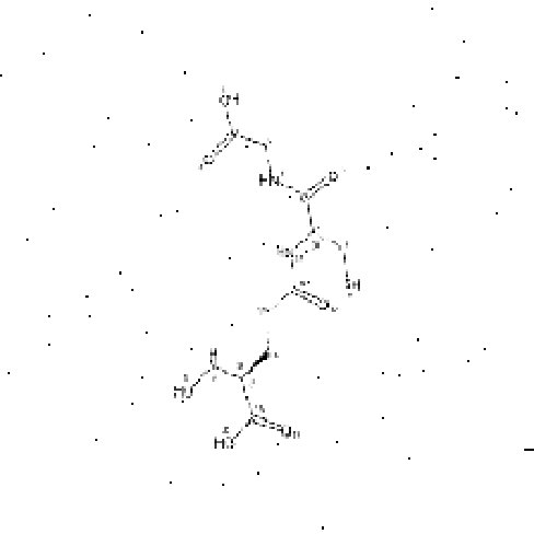 O=C(O)CNC(=O)[C@H](CS)NC(=O)CC[C@H](NO)C(=O)O